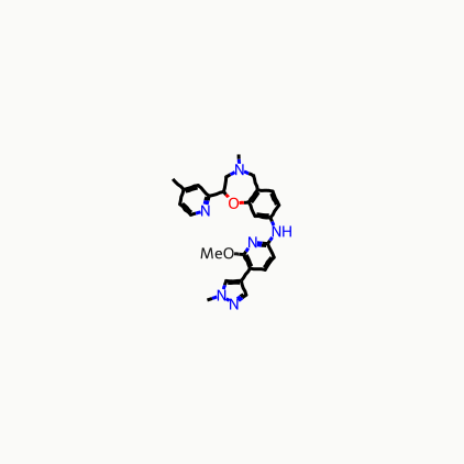 COc1nc(Nc2ccc3c(c2)OC(c2cc(C)ccn2)CN(C)C3)ccc1-c1cnn(C)c1